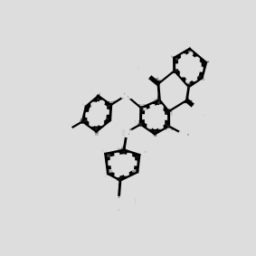 O=C1c2ccccc2C(=O)c2c(Nc3ccc(S(=O)(=O)O)cc3)c(Nc3ccc(S(=O)(=O)O)cc3)cc(O)c21